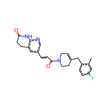 Cc1cc(F)ccc1CC1=CCN(C(=O)/C=C/c2cnc3c(c2)CCC(=O)N3)CC1